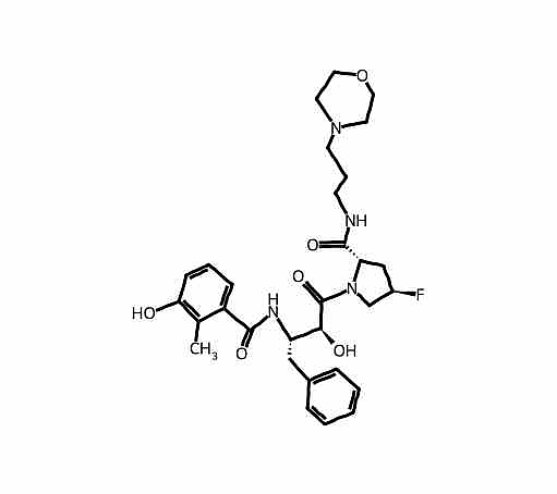 Cc1c(O)cccc1C(=O)N[C@@H](Cc1ccccc1)[C@H](O)C(=O)N1C[C@H](F)C[C@H]1C(=O)NCCCN1CCOCC1